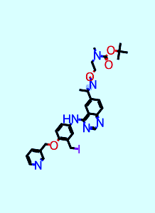 C/C(=N\OCCN(C)C(=O)OC(C)(C)C)c1ccc2ncnc(Nc3ccc(OCc4cccnc4)c(CI)c3)c2c1